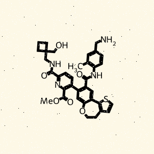 COC(=O)c1nc(C(=O)NCC2(CO)CCC2)ccc1-c1cc2c(cc1C(=O)Nc1ccc(CN)cc1C)-c1sccc1CCO2